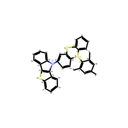 Cc1cc(C)c([SH]2c3ccccc3Sc3cc(-n4c5ccccc5c5sc6ccccc6c54)ccc32)c(C)c1